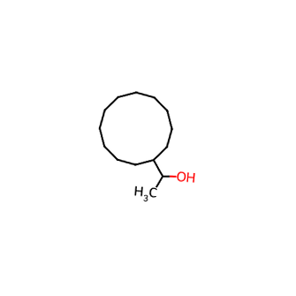 CC(O)C1CCCCCCCCCCC1